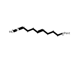 [CH]=C=CCCC=CCCCCCCCC